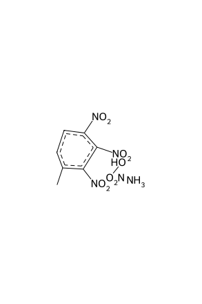 Cc1ccc([N+](=O)[O-])c([N+](=O)[O-])c1[N+](=O)[O-].N.O=[N+]([O-])O